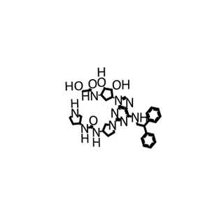 O=C(CO)N[C@H]1C[C@@H](n2cnc3c(NCC(c4ccccc4)c4ccccc4)nc(N4CC[C@@H](NC(=O)NC5CCNC5)C4)nc32)[C@H](O)[C@@H]1O